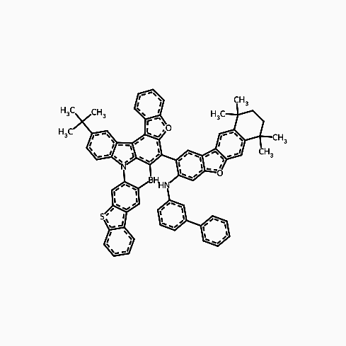 CC(C)(C)c1ccc2c(c1)c1c3c(oc4ccccc43)c(-c3cc4c(cc3Nc3cccc(-c5ccccc5)c3)oc3cc5c(cc34)C(C)(C)CCC5(C)C)c3c1n2-c1cc2sc4ccccc4c2cc1B3